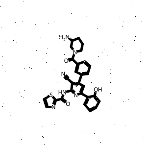 N#Cc1c(-c2cccc(C(=O)N3CCCC(N)C3)c2)cc(-c2ccccc2O)nc1NC(=O)c1nccs1